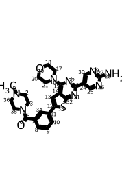 CN1CCN(C(=O)c2cccc(-c3cc4c(N5CCOCC5)nc(-c5cnc(N)nc5)nc4s3)c2)CC1